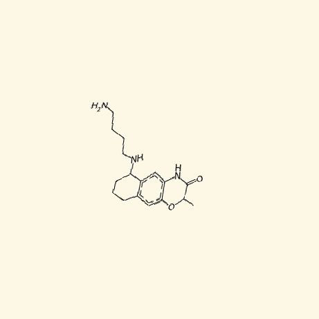 CC1Oc2cc3c(cc2NC1=O)C(NCCCCN)CCC3